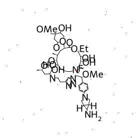 CC[C@H]1OC(=O)[C@H](C)[C@@H](O[C@H]2C[C@@](C)(OC)[C@@H](O)[C@H](C)O2)[C@H](C)[C@@H](O[C@@H]2O[C@H](C)C[C@H](N(C)CCc3cn([C@H](CF)[C@H](OC)c4ccc(N5C[C@@H]6[C@@H](N)[C@@H]6C5)cc4)nn3)[C@H]2O)[C@](C)(O)C[C@@H](C)CN(C)[C@H](C)[C@@H](O)[C@]1(C)O